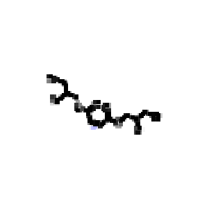 O=C(/C=C\C(=O)OCC(Br)CBr)OCC(Br)CBr